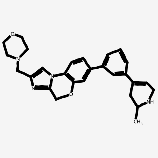 CC1CC(c2cccc(-c3ccc4c(c3)OCc3nc(CN5CCOCC5)cn3-4)c2)=CCN1